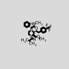 CNC(=O)[C@@H](c1ccccc1)N1CCn2c(C(C)C)nc(OC)c2[C@@H]1CCc1ccc(C(F)(F)F)cc1